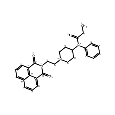 CCC(=O)N(c1ccccc1)C1CCN(CCN2C(=O)c3cccc4cccc(c34)C2=O)CC1